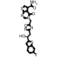 NC(=O)c1csc2ncn(Cc3nc(C[C@H](O)c4cc5ccc(F)cc5s4)no3)c(=O)c12